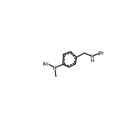 CC(=O)N(C)c1ccc(CNC(C)C)cc1